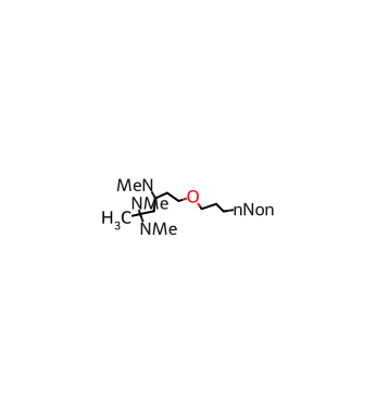 CCCCCCCCCCCCOCCC(CC(C)(NC)NC)NC